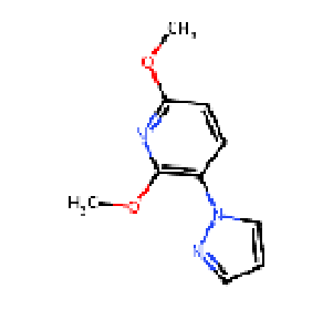 COc1ccc(-n2cc[c]n2)c(OC)n1